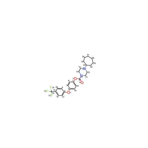 O=C(Oc1ccc(Oc2ccc(C(F)(F)F)cc2)cc1)N1CCN(C2CCCCCC2)CC1